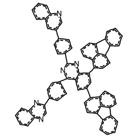 c1ccc2c(c1)-c1cccc3c(-c4cc(-c5ccc6c7c(cccc57)-c5ccccc5-6)c5nc(-c6ccc(-c7cnc8ccccc8c7)cc6)nc(-c6ccc(-c7cnc8ccccc8n7)cc6)c5c4)ccc-2c13